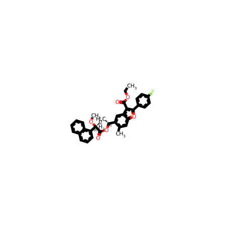 CCOC(=O)c1c(-c2ccc(F)cc2)oc2cc(C)c([C@@H](C)OC(=O)[C@](C)(OC)c3cccc4ccccc34)cc12